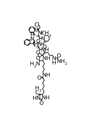 C[C@H]1NC(=O)NC1CCCCCC(=O)NCCCCC(NC(=O)[C@H](CCCNC(N)=O)NC(=O)[C@H](Cc1c[nH]c2ccccc12)NC(=O)[C@@H]1CCCCN1C(=O)[C@H](Cc1ccccc1)N(C)C(=O)CCl)C(N)=O